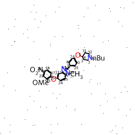 CCCCN1CCC(Oc2ccc(-c3nc4cc(Oc5ccc([N+](=O)[O-])cc5OC)ccc4n3C)cc2)CC1